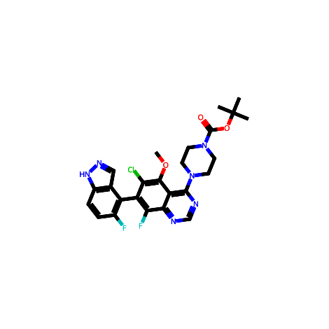 COc1c(Cl)c(-c2c(F)ccc3[nH]ncc23)c(F)c2ncnc(N3CCN(C(=O)OC(C)(C)C)CC3)c12